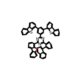 c1ccc(-c2cccc3ccccc23)c(-c2nc(-c3cc(-c4cccc5c4sc4ccccc45)cc(-c4cccc5c4sc4ccccc45)c3)nc(-c3cccc4c3sc3ccccc34)n2)c1